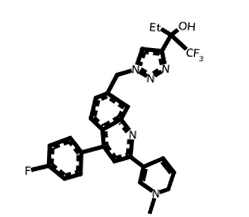 CCC(O)(c1cn(Cc2ccc3c(-c4ccc(F)cc4)cc(C4=CN(C)CC=C4)nc3c2)nn1)C(F)(F)F